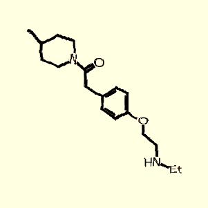 CCNCCOc1ccc(CC(=O)N2CCC(C)CC2)cc1